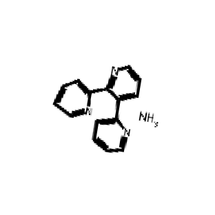 N.c1ccc(-c2cccnc2-c2ccccn2)nc1